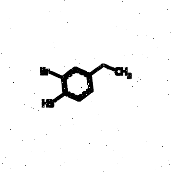 CCc1ccc(S)c(Br)c1